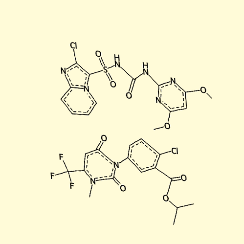 CC(C)OC(=O)c1cc(-n2c(=O)cc(C(F)(F)F)n(C)c2=O)ccc1Cl.COc1cc(OC)nc(NC(=O)NS(=O)(=O)c2c(Cl)nc3ccccn23)n1